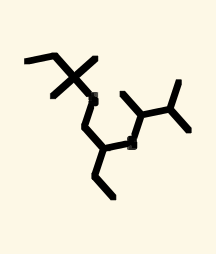 CC[C](CSC(C)(C)CC)SC(C)C(C)C